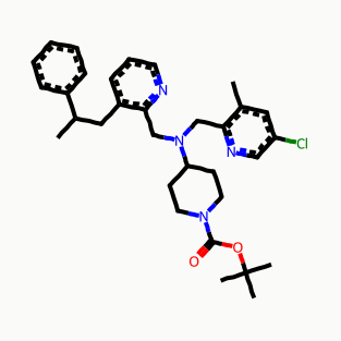 Cc1cc(Cl)cnc1CN(Cc1ncccc1CC(C)c1ccccc1)C1CCN(C(=O)OC(C)(C)C)CC1